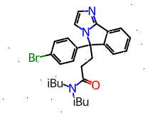 CCC(C)N(C(=O)CCC1(c2ccc(Br)cc2)c2ccccc2-c2nccn21)C(C)CC